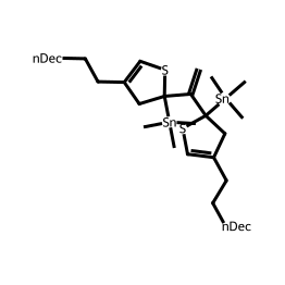 C=C([C]1([Sn]([CH3])([CH3])[CH3])CC(CCCCCCCCCCCC)=CS1)[C]1([Sn]([CH3])([CH3])[CH3])CC(CCCCCCCCCCCC)=CS1